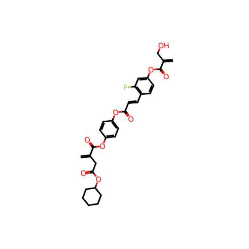 C=C(CO)C(=O)Oc1ccc(/C=C/C(=O)Oc2ccc(OC(=O)C(=C)CC(=O)OC3CCCCC3)cc2)c(F)c1